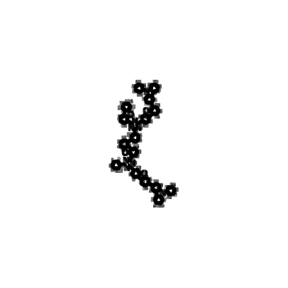 c1ccc(-c2nc(-c3ccc4c(c3)oc3cc(-c5ccc6c(c5)c5ccccc5n6-c5ccccc5)ccc34)nc(-c3cccc4c3oc3cccc(-c5cccc(-c6nc(-c7ccc8c(c7)oc7c(-c9ccc%10c(c9)c9ccccc9n%10-c9ccccc9)cccc78)nc(-c7cccc8c7oc7ccccc78)n6)c5)c34)n2)cc1